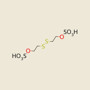 O=S(=O)(O)OCCSSCCOS(=O)(=O)O